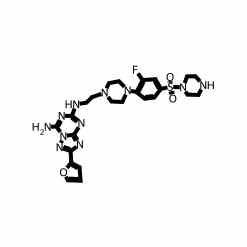 Nc1nc(NCCN2CCN(c3ccc(S(=O)(=O)N4CCNCC4)cc3F)CC2)nc2nc(-c3ccco3)nn12